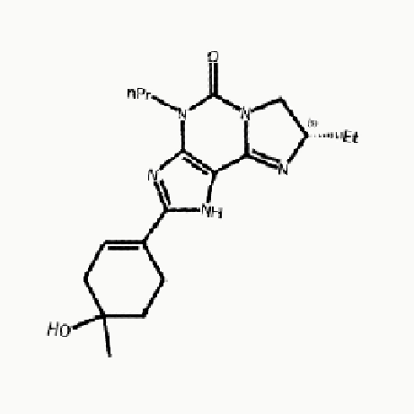 CCCN1C(=O)N2C[C@H](CC)N=C2c2[nH]c(C3=CCC(C)(O)CC3)nc21